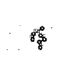 c1ccc(C2NC(c3ccc4sc5ccccc5c4c3)N2c2ccc3c(c2)oc2cccc(-c4cccc5c4oc4ccccc45)c23)cc1